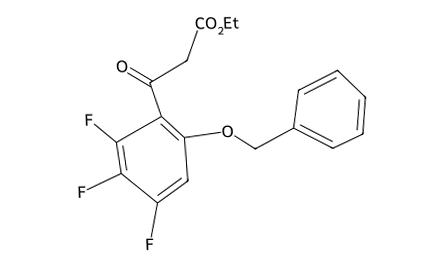 CCOC(=O)CC(=O)c1c(OCc2ccccc2)cc(F)c(F)c1F